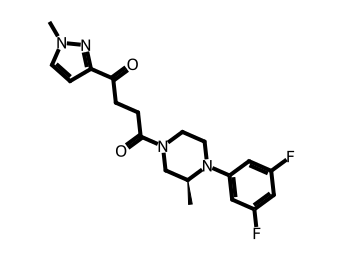 C[C@H]1CN(C(=O)CCC(=O)c2ccn(C)n2)CCN1c1cc(F)cc(F)c1